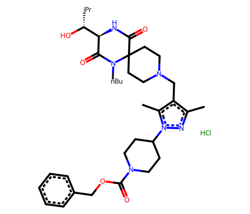 CCCCN1C(=O)[C@@H]([C@H](O)C(C)C)NC(=O)C12CCN(Cc1c(C)nn(C3CCN(C(=O)OCc4ccccc4)CC3)c1C)CC2.Cl